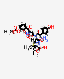 COC(=O)Oc1cccc2c(=O)c(CC(=O)N(C(=O)C(N)c3ccc(O)cc3)[C@@H]3C(=O)N4[C@@H]3SC(C)(C)[C@@H]4C(=O)O)[n+]([O-])oc12